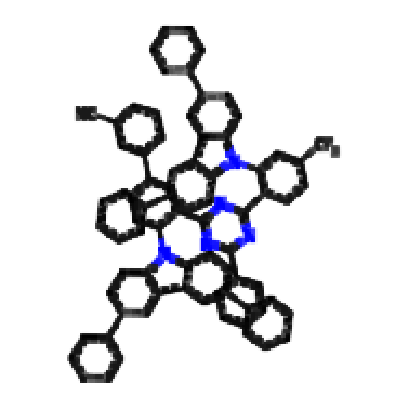 N#Cc1cccc(-c2ccc(-n3c4ccc(-c5ccccc5)cc4c4cc(-c5ccccc5)ccc43)c(-c3nc(-c4ccccc4)nc(-c4ccc(C(F)(F)F)cc4-n4c5ccc(-c6ccccc6)cc5c5cc(-c6ccccc6)ccc54)n3)c2)c1